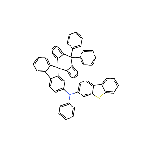 c1ccc(N(c2ccc3c(c2)C2(c4ccccc4-3)c3ccccc3C(c3ccccc3)(c3ccccc3)c3ccccc32)c2ccc3c(c2)sc2ccccc23)cc1